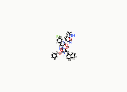 CC1(C)CC(CC(C#N)NC(=O)C(CC2CCC(F)(F)CC2)NC(=O)C(Cc2cccc3ccccc23)NC(=O)OCc2ccccc2)C(=O)N1